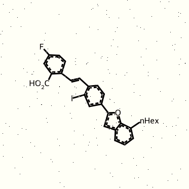 CCCCCCc1cccc2cc(-c3ccc(/C=C/c4ccc(F)cc4C(=O)O)c(I)c3)oc12